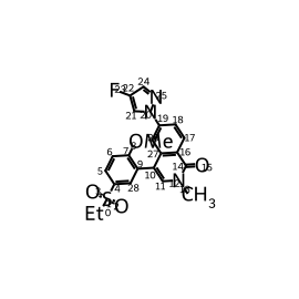 CCS(=O)(=O)c1ccc(OC)c(-c2cn(C)c(=O)c3ccc(-n4cc(F)cn4)cc23)c1